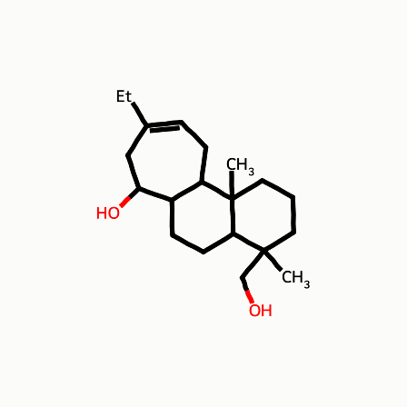 CCC1=CCC2C(CCC3C(C)(CO)CCCC23C)C(O)C1